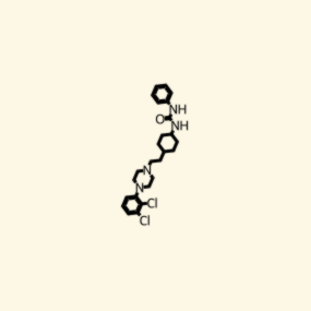 O=C(Nc1ccccc1)NC1CCC(CCN2CCN(c3cccc(Cl)c3Cl)CC2)CC1